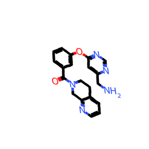 NCc1cc(Oc2cccc(C(=O)N3CCc4cccnc4C3)c2)ncn1